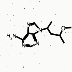 COC(C)CC(C)n1cnc2c(N)ncnc21